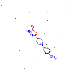 Nc1ccc(N2CCC(c3n[nH]c(=O)o3)CC2)cc1